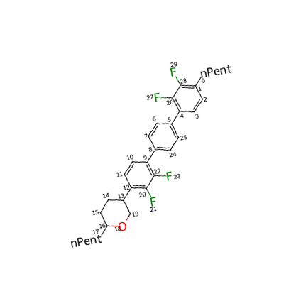 CCCCCc1ccc(-c2ccc(-c3ccc(C4CCC(CCCCC)OC4)c(F)c3F)cc2)c(F)c1F